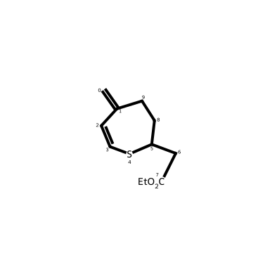 C=C1C=CSC(CC(=O)OCC)CC1